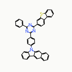 c1ccc(-c2nc(-c3ccc(-n4c5ccccc5c5cc6ccccc6cc54)cc3)nc(-c3ccc4c(c3)sc3ccccc34)n2)cc1